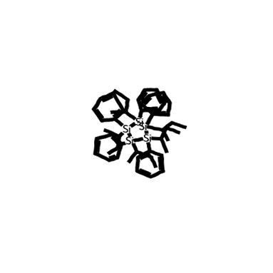 CCC(C)[Si]1(c2ccccc2)[Si](c2ccccc2)(C(C)CC)[Si](c2ccccc2)(C(C)CC)[Si](c2ccccc2)(C(C)CC)[Si]1(c1ccccc1)C(C)CC